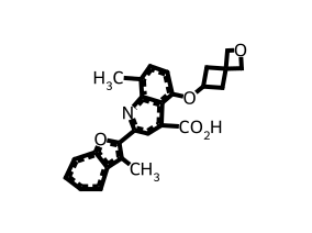 Cc1c(-c2cc(C(=O)O)c3c(OC4CC5(COC5)C4)ccc(C)c3n2)oc2ccccc12